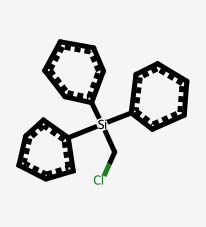 ClC[Si](c1ccccc1)(c1ccccc1)c1ccccc1